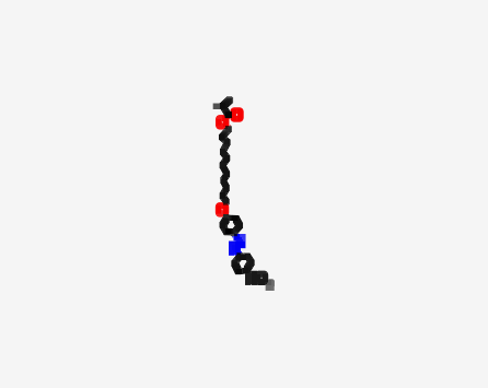 C=C(C)C(=O)OCCCCCCCCCCCOc1ccc(N=Nc2ccc([N+](=O)[O-])cc2)cc1